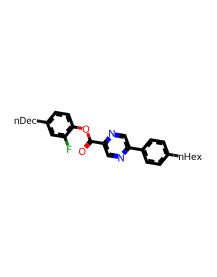 CCCCCCCCCCc1ccc(OC(=O)c2cnc(-c3ccc(CCCCCC)cc3)cn2)c(F)c1